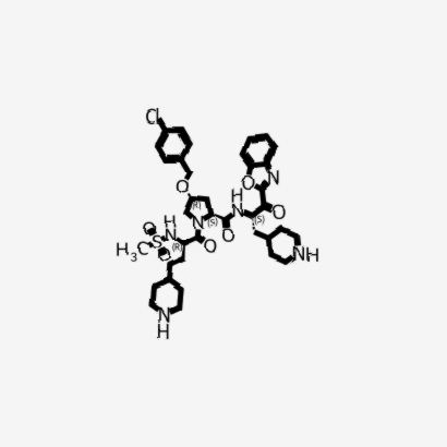 CS(=O)(=O)N[C@H](CCC1CCNCC1)C(=O)N1C[C@H](OCc2ccc(Cl)cc2)C[C@H]1C(=O)N[C@@H](CC1CCNCC1)C(=O)c1nc2ccccc2o1